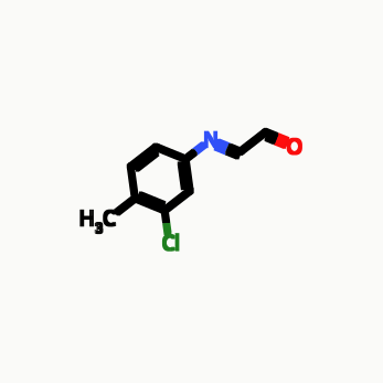 Cc1ccc(N=CC=O)cc1Cl